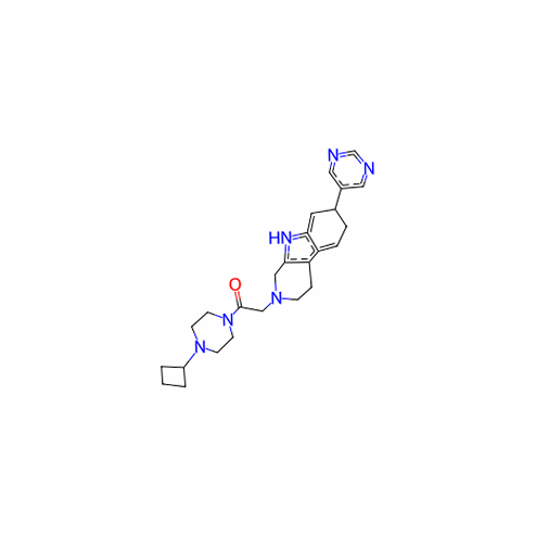 O=C(CN1CCc2c([nH]c3c2=CCC(c2cncnc2)C=3)C1)N1CCN(C2CCC2)CC1